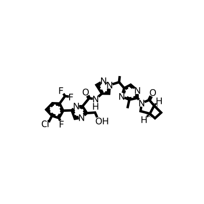 Cc1nc(C(C)n2cc(NC(=O)c3nc(-c4c(C(F)F)ccc(Cl)c4F)cnc3CO)cn2)cnc1N1C[C@H]2CC[C@H]2C1=O